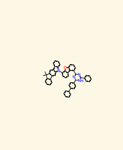 CC1(C)c2ccccc2-c2cc3c(cc21)c1ccccc1n3-c1cccc2c1oc1cccc(C3=NC(c4ccc(-c5ccccc5)cc4)NC(c4ccccc4)=N3)c12